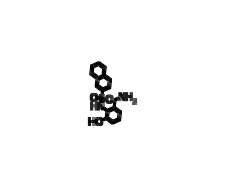 NCc1cccc(O)c1NS(=O)(=O)c1ccc2ccccc2c1